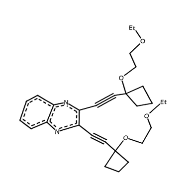 CCOCCOC1(C#Cc2nc3ccccc3nc2C#CC2(OCCOCC)CCC2)CCC1